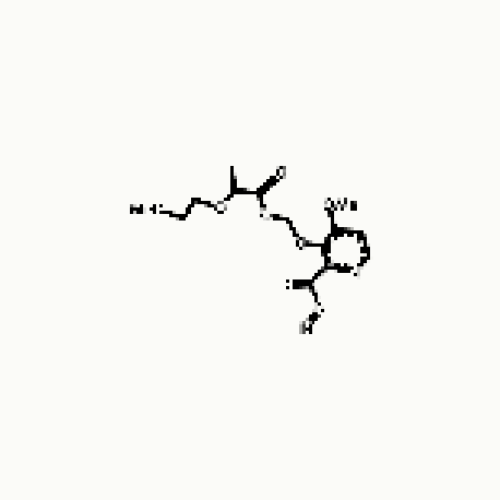 COCCOC(C)C(=O)OCOc1c(OC)ccnc1C(=O)N=N